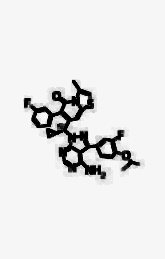 Cc1csc2cc([C@H](C3CC3)n3nc(-c4ccc(OC(C)C)c(F)c4)c4c(N)ncnc43)c(-c3cccc(F)c3)c(=O)n12